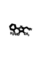 Cc1ccccc1-n1nc(CC(C)C)c(C)c1O